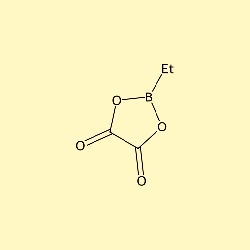 CCB1OC(=O)C(=O)O1